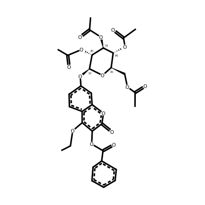 CCOc1c(OC(=O)c2ccccc2)c(=O)oc2cc(O[C@@H]3O[C@H](COC(C)=O)[C@@H](OC(C)=O)[C@H](OC(C)=O)[C@H]3OC(C)=O)ccc12